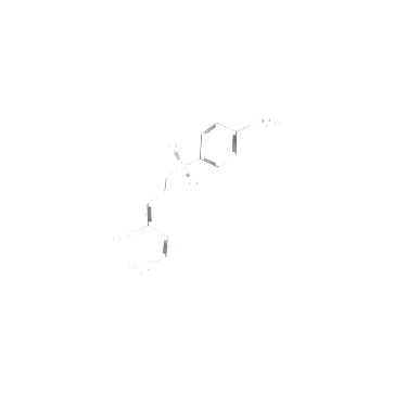 C/C=C\C(C)=C/CCS(=O)(=O)c1ccc(OC)cc1